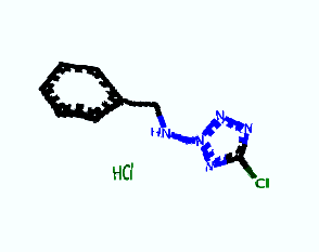 Cl.Clc1nnn(NCc2ccccc2)n1